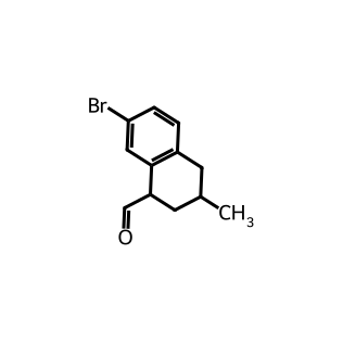 CC1Cc2ccc(Br)cc2C(C=O)C1